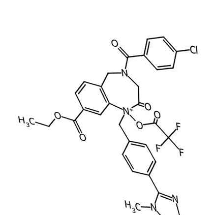 CCOC(=O)c1ccc2c(c1)[N+](Cc1ccc(C3=NCCN3C)cc1)(OC(=O)C(F)(F)F)C(=O)CN(C(=O)c1ccc(Cl)cc1)C2